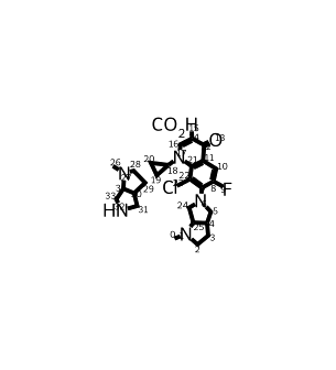 CN1CCC2CN(c3c(F)cc4c(=O)c(C(=O)O)cn(C5CC5)c4c3Cl)CC21.CN1CCC2CNCC21